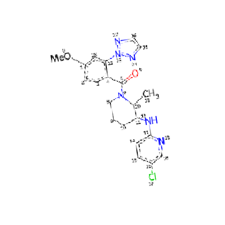 COc1ccc(C(=O)N2CCCC(Nc3ccc(Cl)cn3)C2C)c(-n2nccn2)c1